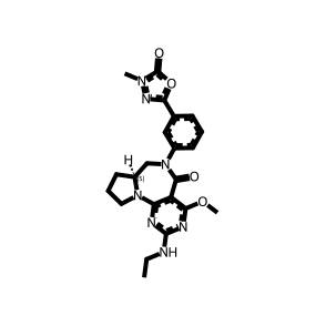 CCNc1nc(OC)c2c(n1)N1CCC[C@H]1CN(c1cccc(-c3nn(C)c(=O)o3)c1)C2=O